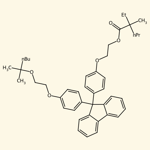 CCCCC(C)(C)OCCOc1ccc(C2(c3ccc(OCCOC(=O)C(C)(CC)CCC)cc3)c3ccccc3-c3ccccc32)cc1